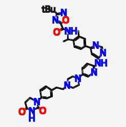 Cc1cc(-c2cc(Nc3ccc(N4CCN(CCc5ccc(N6CCC(=O)NC6=O)cc5)CC4)cn3)ncn2)ccc1C(C)NC(=O)c1nc(C(C)(C)C)no1